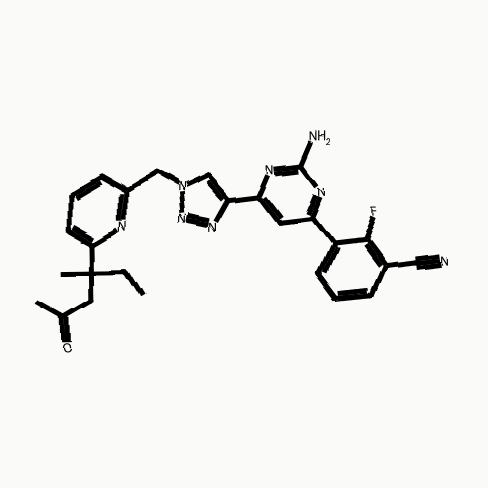 CCC(C)(CC(C)=O)c1cccc(Cn2cc(-c3cc(-c4cccc(C#N)c4F)nc(N)n3)nn2)n1